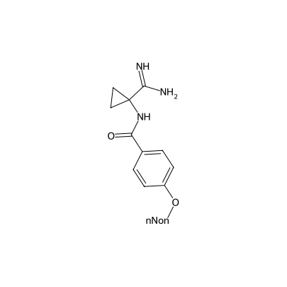 CCCCCCCCCOc1ccc(C(=O)NC2(C(=N)N)CC2)cc1